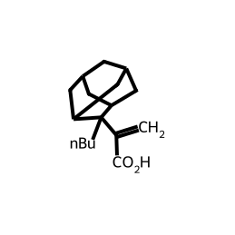 C=C(C(=O)O)C1(CCCC)C2CC3CC(C2)CC1C3